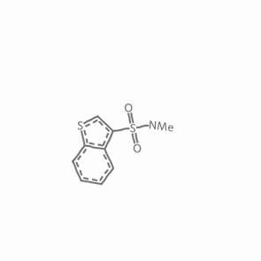 CNS(=O)(=O)c1csc2ccccc12